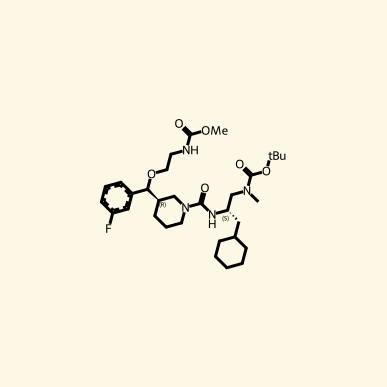 COC(=O)NCCOC(c1cccc(F)c1)[C@@H]1CCCN(C(=O)N[C@@H](CC2CCCCC2)CN(C)C(=O)OC(C)(C)C)C1